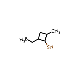 BCC1CC(C)C1S